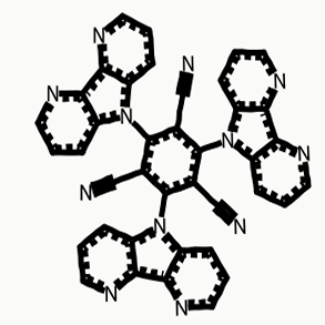 N#Cc1c(-n2c3cccnc3c3ncccc32)c(C#N)c(-n2c3cccnc3c3ncccc32)c(C#N)c1-n1c2cccnc2c2ncccc21